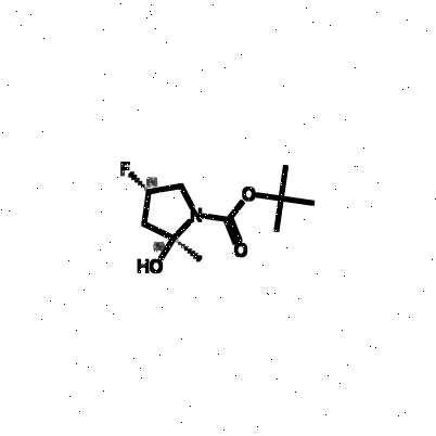 CC(C)(C)OC(=O)N1C[C@@H](F)C[C@]1(C)O